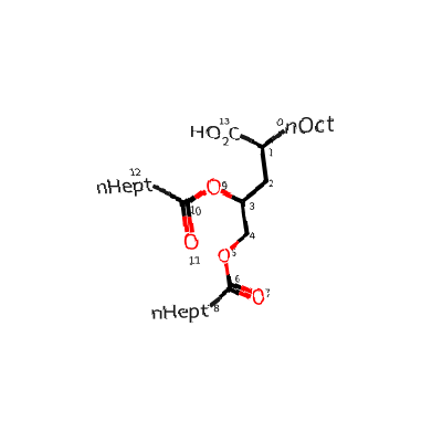 CCCCCCCCC(CC(COC(=O)CCCCCCC)OC(=O)CCCCCCC)C(=O)O